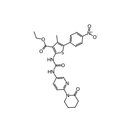 CCOC(=O)c1c(NC(=O)Nc2ccc(N3CCCCC3=O)nc2)sc(-c2ccc([N+](=O)[O-])cc2)c1C